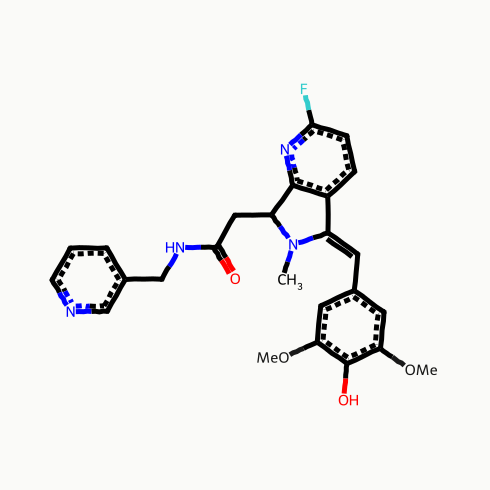 COc1cc(C=C2c3ccc(F)nc3C(CC(=O)NCc3cccnc3)N2C)cc(OC)c1O